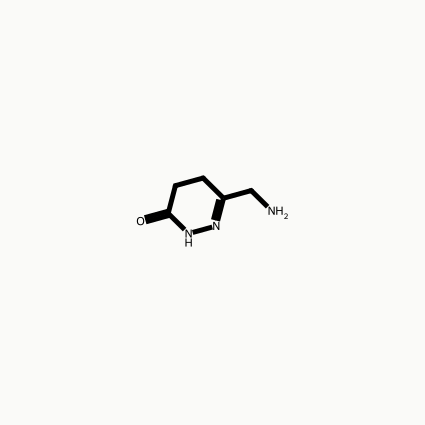 NCC1=NNC(=O)CC1